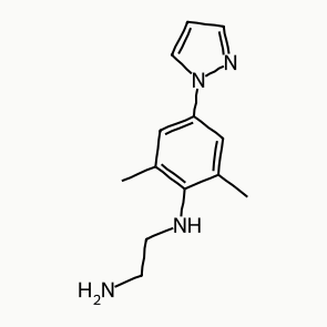 Cc1cc(-n2cccn2)cc(C)c1NCCN